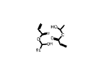 C=CC(=O)OC(C)O.C=CC(=O)OC(O)CC